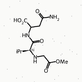 COC(=O)CN[C@H](C(=O)NC(CC(N)=O)C(=O)O)C(C)C